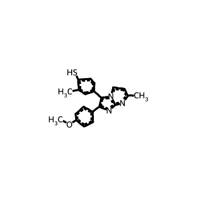 COc1ccc(-c2nc3nc(C)ccn3c2-c2ccc(S)c(C)c2)cc1